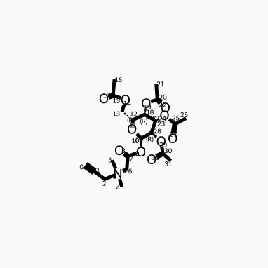 C#CC[N+](C)(C)CC(=O)O[C@H]1O[C@H](COC(C)=O)[C@@H](OC(C)=O)[C@H](OC(C)=O)[C@H]1OC(C)=O